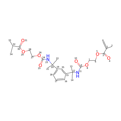 C=C(C)C(=O)OCCOC(=O)NC(C)(C)c1cccc(C(C)(C)NC(=O)OCCOC(=O)C(C)C)c1